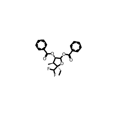 CC[C@@]1(C(F)F)OC(OC(=O)c2ccccc2)[C@H](OC(=O)c2ccccc2)[C@@H]1C